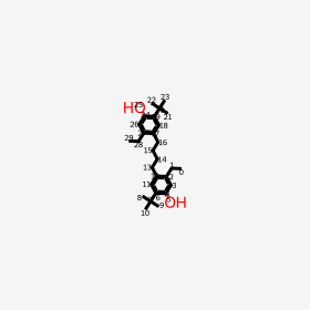 CCc1cc(O)c(C(C)(C)C)cc1CCCCc1cc(C(C)(C)C)c(O)cc1CC